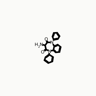 NC1C(=O)N(c2ccccc2)c2ccccc2N(c2ccccc2)C1=O